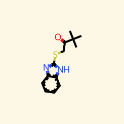 CC(C)(C)C(=O)CSc1nc2ccccc2[nH]1